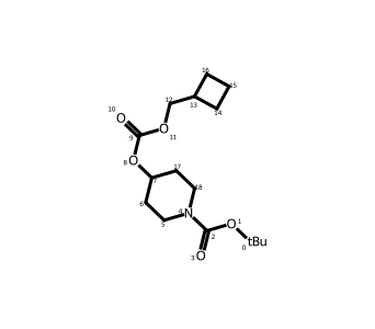 CC(C)(C)OC(=O)N1CCC(OC(=O)OCC2CCC2)CC1